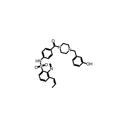 C=Nc1c(/C=C\C)cccc1S(=O)(=O)Nc1ccc(C(=O)N2CCN(Cc3cccc(O)c3)CC2)cc1